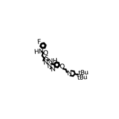 CC(C)(C)[C](C1CCN(CCCOc2ccc3c(Nc4ncc(CC(=O)Nc5cccc(F)c5)s4)ncnc3c2)CC1)C(C)(C)C